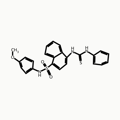 COc1ccc(NS(=O)(=O)c2ccc(NC(=S)Nc3ccccc3)c3ccccc23)cc1